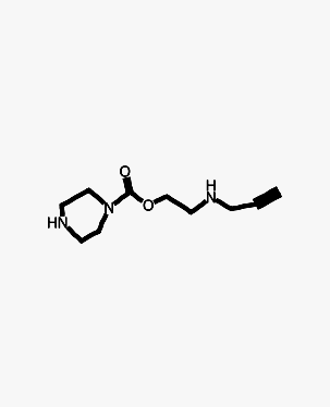 C#CCNCCOC(=O)N1CCNCC1